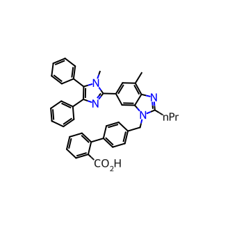 CCCc1nc2c(C)cc(-c3nc(-c4ccccc4)c(-c4ccccc4)n3C)cc2n1Cc1ccc(-c2ccccc2C(=O)O)cc1